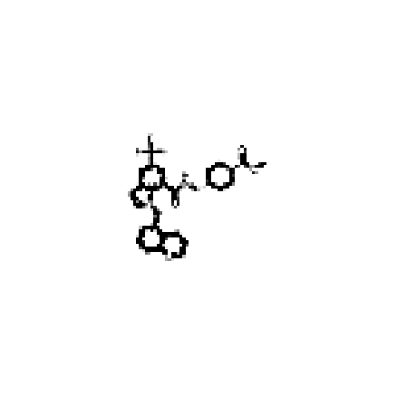 COC(=O)[C@H]1CC[C@H](CNC(=O)c2cc(C(F)(F)F)cc3ccn(Cc4cccc5ncccc45)c23)CC1